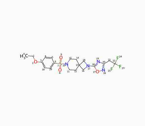 CCOc1ccc(S(=O)(=O)N2CCC3(CC2)CN(c2nc(CC(F)(F)F)no2)C3)cc1